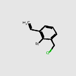 C=Cc1cccc(CCl)c1CC